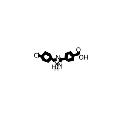 Cl.O=C(O)c1ccc(-c2n[nH]c(-c3ccc(Cl)cc3)n2)cc1